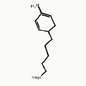 CCCCCCCCCCCCC1C=CC(N)=CC1